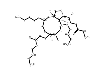 CCCCCCCCNC(=O)CC[C@@H](C)[C@H]1CC[C@H]2C[C@H](OCCCNC)CC[C@](C)(CC[C@H](CC)OCNCS(=O)(=O)O)[C@H](C)C[C@H](OCNCS(=O)(=O)O)[C@@]21C